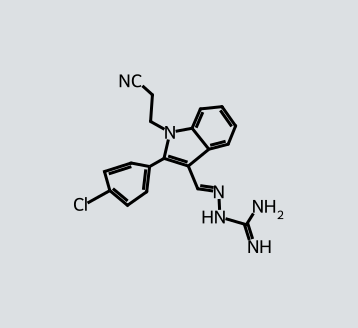 N#CCCn1c(-c2ccc(Cl)cc2)c(C=NNC(=N)N)c2ccccc21